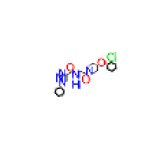 O=C(NCC(=O)N1CCC(Oc2ccccc2Cl)CC1)c1cn(-c2ccccc2)nn1